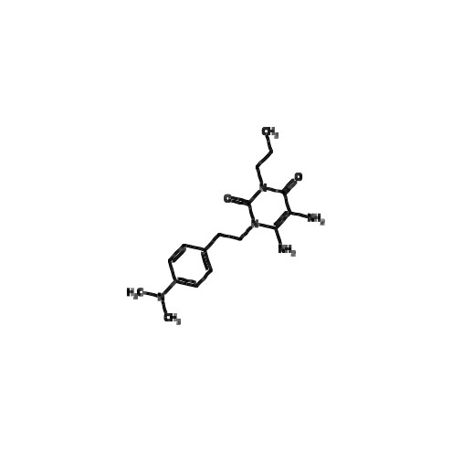 CCCn1c(=O)c(N)c(N)n(CCc2ccc(N(C)C)cc2)c1=O